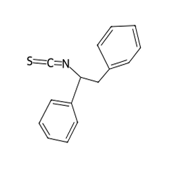 S=C=NC(Cc1ccccc1)c1ccccc1